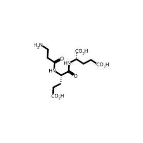 NCCC(=O)N[C@@H](CCC(=O)O)C(=O)N[C@@H](CCC(=O)O)C(=O)O